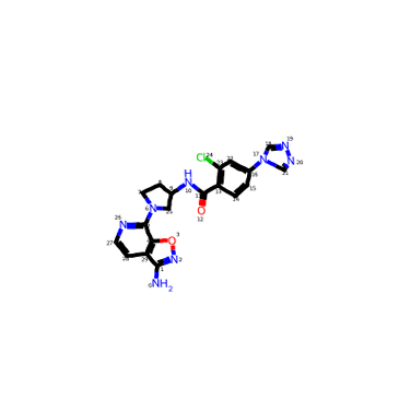 Nc1noc2c(N3CCC(NC(=O)c4ccc(-n5cnnc5)cc4Cl)C3)nccc12